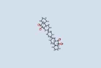 O=C1C(=O)C2CC(C3CCC(C4CCC5C(C4)C(=O)C(=O)C4CCCCC45)CC3)CCC2C2CCCCC12